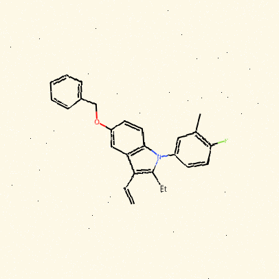 C=Cc1c(CC)n(-c2ccc(F)c(C)c2)c2ccc(OCc3ccccc3)cc12